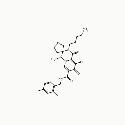 COCCCN1C(=O)c2c(O)c(=O)c(C(=O)NCc3ccc(F)cc3F)cn2N(C)C12CCOC2